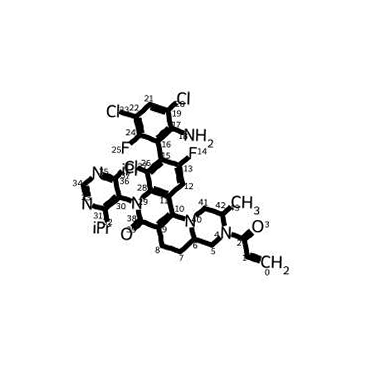 C=CC(=O)N1CC2CCc3c(c4cc(F)c(-c5c(N)c(Cl)cc(Cl)c5F)c(Cl)c4n(-c4c(C(C)C)ncnc4C(C)C)c3=O)N2CC1C